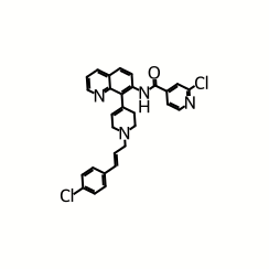 O=C(Nc1ccc2cccnc2c1C1=CCN(C/C=C/c2ccc(Cl)cc2)CC1)c1ccnc(Cl)c1